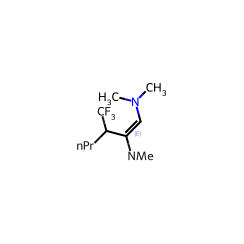 CCCC(/C(=C\N(C)C)NC)C(F)(F)F